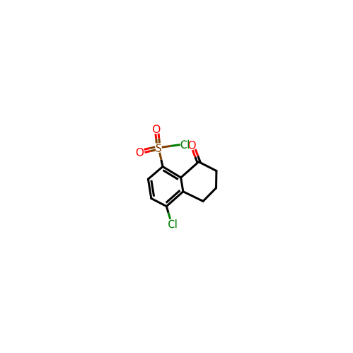 O=C1CCCc2c(Cl)ccc(S(=O)(=O)Cl)c21